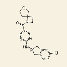 O=C(c1cnc(N[C@@H]2Cc3ccc(Cl)cc3C2)nc1)N1CCC12CCOC2